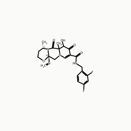 C=N[C@]12CN3C=C(C(=O)NCc4ccc(F)cc4F)C(=O)C(O)C3(C)C(=O)N1[C@@H](C)CCO2